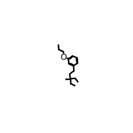 CCCOc1cccc(CCC(C)(CC)CC)c1